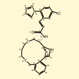 O=C(/C=C/c1cc(Cl)ccc1-n1cnnn1)N[C@H]1CCCCCCCc2ccccc2-c2c[nH]c1n2